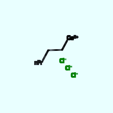 CCCC[CH2][Ge+3].[Cl-].[Cl-].[Cl-]